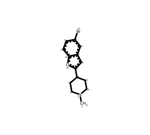 CN1CCC(c2cc3cc(Br)ccc3o2)CC1